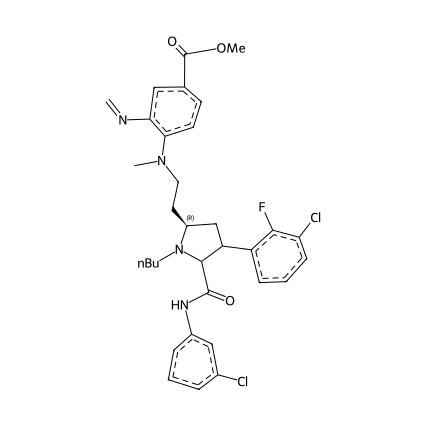 C=Nc1cc(C(=O)OC)ccc1N(C)CC[C@H]1CC(c2cccc(Cl)c2F)C(C(=O)Nc2cccc(Cl)c2)N1CCCC